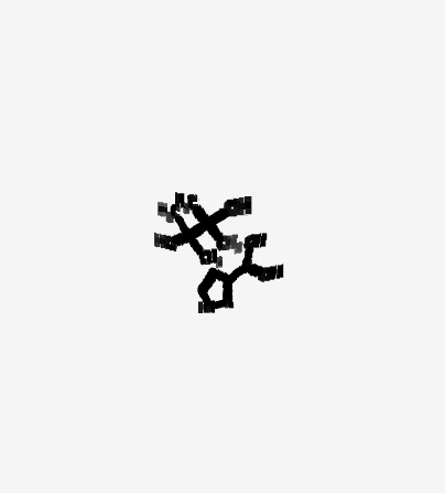 CC(C)(O)C(C)(C)O.OB(O)c1cc[nH]n1